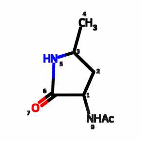 CC(=O)NC1CC(C)NC1=O